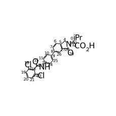 CC(C)[C@@H](C(=O)O)N1Cc2ccc(-c3ccc(NC(=O)c4c(Cl)cccc4Cl)cc3)cc2C1=O